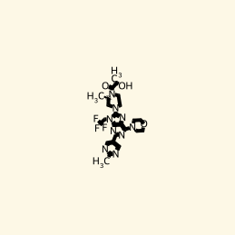 Cc1ncc(-c2nc(N3CCOCC3)c3nc(N4CCN(C(=O)[C@H](C)O)[C@H](C)C4)n(CC(F)(F)F)c3n2)cn1